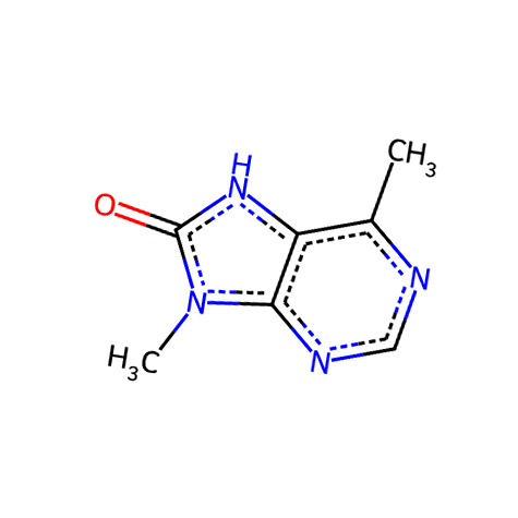 Cc1ncnc2c1[nH]c(=O)n2C